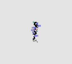 CCCCNc1cnc(NC(=O)Nc2c[nH]c3ncc(F)cc23)c(F)c1